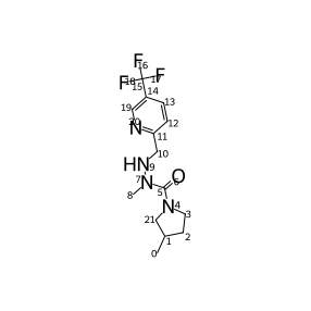 CC1CCN(C(=O)N(C)NCc2ccc(C(F)(F)F)cn2)C1